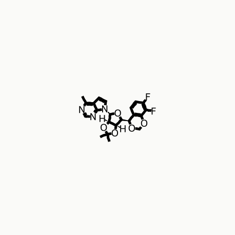 Cc1ncnc2c1ccn2[C@@H]1OC([C@@H]2OCOc3c2ccc(F)c3F)[C@H]2OC(C)(C)O[C@H]21